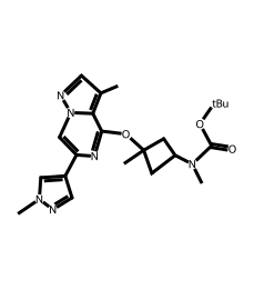 Cc1cnn2cc(-c3cnn(C)c3)nc(OC3(C)CC(N(C)C(=O)OC(C)(C)C)C3)c12